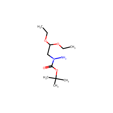 CCOC(CN(N)C(=O)OC(C)(C)C)OCC